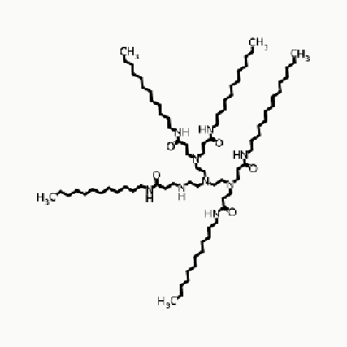 CCCCCCCCCCCCCCNC(=O)CCN(CCC(=O)NCCCCCCCCCCCC)CCN(CCNCCC(=O)NCCCCCCCCCCCC)CCN(CCC(=O)NCCCCCCCCCCCC)CCC(=O)NCCCCCCCCCCCC